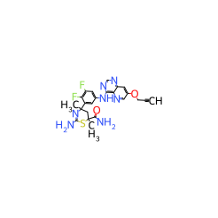 C#CCOc1cnc2c(Nc3cc(F)c(F)c([C@]4(C)C[C@](C)(C(N)=O)SC(N)=N4)c3)ncnc2c1